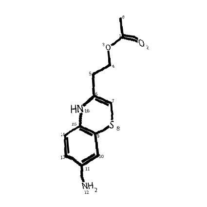 CC(=O)OCCC1=CSc2cc(N)ccc2N1